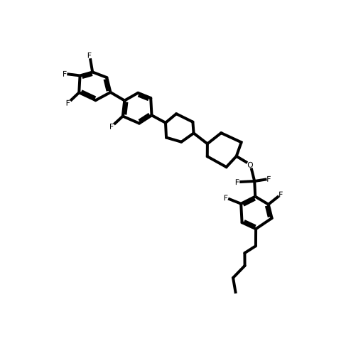 CCCCCc1cc(F)c(C(F)(F)OC2CCC(C3CCC(c4ccc(-c5cc(F)c(F)c(F)c5)c(F)c4)CC3)CC2)c(F)c1